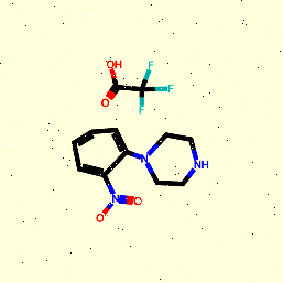 O=C(O)C(F)(F)F.O=[N+]([O-])c1ccccc1N1CCNCC1